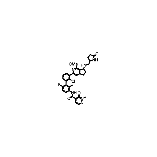 COc1nc(-c2cccc(-c3c(F)ccc(NC(=O)c4ccnn(C)c4=O)c3C)c2Cl)cc2c1C(NCC1CCC(=O)N1)CC2